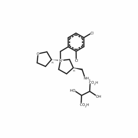 NC[C@H]1CC[N+](Cc2ccc(Cl)cc2Cl)([C@@H]2CCOC2)C1.O=C(O)C(O)C(O)C(=O)O